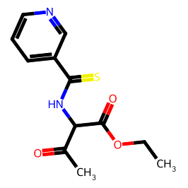 CCOC(=O)C(NC(=S)c1cccnc1)C(C)=O